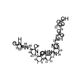 COc1nc(-c2cccc(-c3cccc(Nc4nccc5sc(CNCC(=O)OCC6=C(C)OC(O)O6)nc45)c3Cl)c2Cl)ccc1CNC[C@@H]1CCC(=O)N1